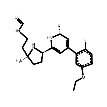 B[C@@]1(CCNC=O)CC[C@H](C2=CC(c3cc(OCC)ccc3F)=C[C@@H](C)N2)N1